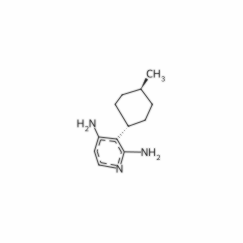 C[C@H]1CC[C@H](c2c(N)ccnc2N)CC1